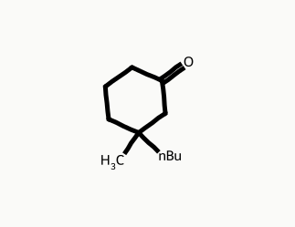 CCCCC1(C)CCCC(=O)C1